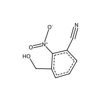 N#Cc1cccc(CO)c1[N+](=O)[O-]